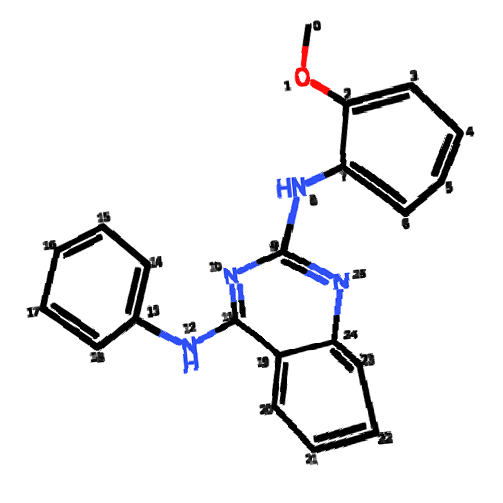 COc1ccccc1Nc1nc(Nc2ccccc2)c2ccccc2n1